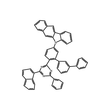 c1ccc(-c2cccc(-c3cc(-n4c5ccccc5c5cc6ccccc6cc54)ccc3-c3nc(-c4ccccc4)nc(-c4cccc5ccccc45)n3)c2)cc1